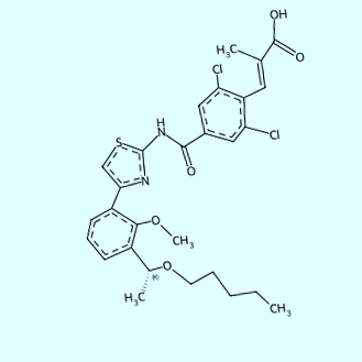 CCCCCO[C@H](C)c1cccc(-c2csc(NC(=O)c3cc(Cl)c(C=C(C)C(=O)O)c(Cl)c3)n2)c1OC